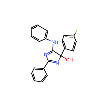 OC1(c2ccc(F)cc2)N=C(c2ccccc2)N=C1Nc1ccccc1